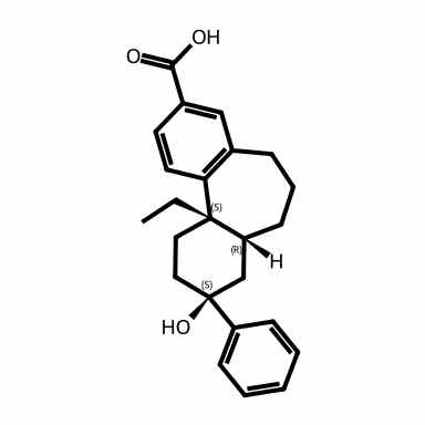 CC[C@]12CC[C@@](O)(c3ccccc3)C[C@H]1CCCc1cc(C(=O)O)ccc12